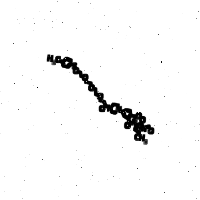 CCCC(C(=O)NC=O)N1C(=O)c2ccc(N3CCN(C(=O)CCOCCOCCOCCOSc4ccc(C)cc4)CC3)cc2C1=O